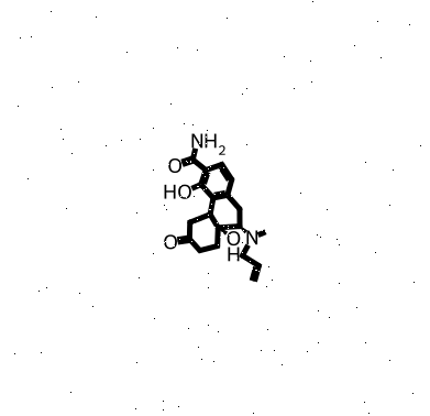 C=CCN(C)[C@@H]1Cc2ccc(C(N)=O)c(O)c2C2CC(=O)CC[C@]21O